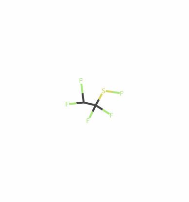 FSC(F)(F)[C](F)F